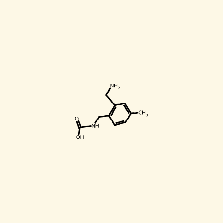 Cc1ccc(CNC(=O)O)c(CN)c1